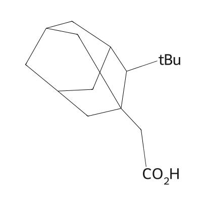 CC(C)(C)C1C2CC3CC(C2)CC1(CC(=O)O)C3